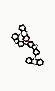 C1=C(N2c3ccccc3Sc3ccccc32)c2c(oc3ccc(-c4ccc5oc6ccc(N7c8ccccc8Sc8ccccc87)cc6c5c4)cc23)CC1